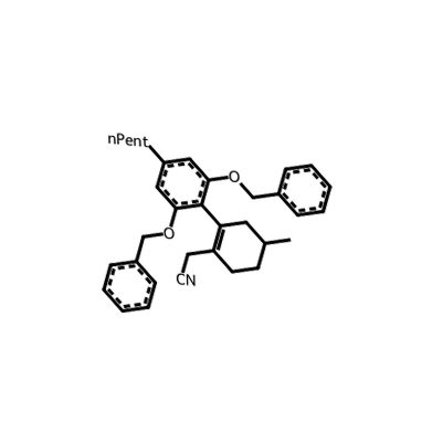 CCCCCc1cc(OCc2ccccc2)c(C2=C(CC#N)CCC(C)C2)c(OCc2ccccc2)c1